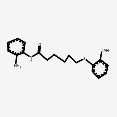 COc1ccccc1SCCCCCC(=O)Nc1ccccc1N